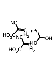 C=C(C#N)C(=O)O.C=C(C#N)C(=O)O.CCCC(O)O